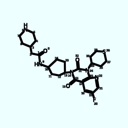 O=C(CC1CCNCC1)NC1CCC(n2c(=O)c3cc(F)cnc3n(C3CCSCC3)c2=O)CC1